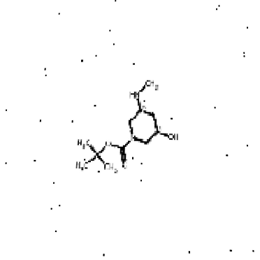 CN[C@H]1C[C@@H](O)CN(C(=O)OC(C)(C)C)C1